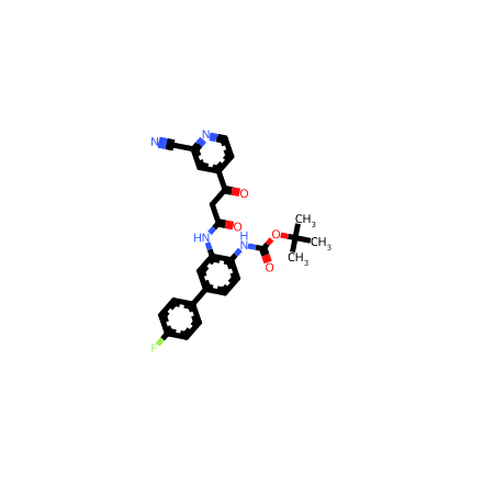 CC(C)(C)OC(=O)Nc1ccc(-c2ccc(F)cc2)cc1NC(=O)CC(=O)c1ccnc(C#N)c1